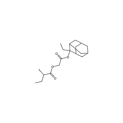 CCC(I)C(=O)OCC(=O)OC1(CC)C2CC3CC(C2)CC1C3